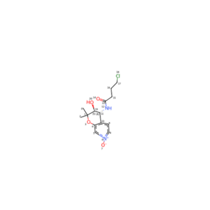 CC1(C)Oc2c[n+]([O-])ccc2[C@@H](NC(=O)CCCCl)[C@@H]1O